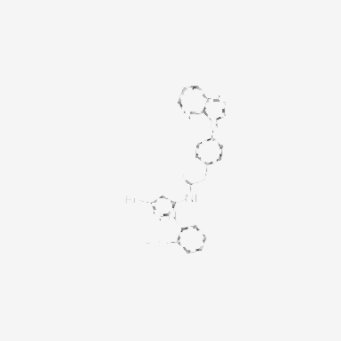 CC(C)(C)c1cc(NC(=O)Cc2ccc(-n3cnc4cccnc43)cc2)n(-c2ccccc2C(F)(F)F)n1